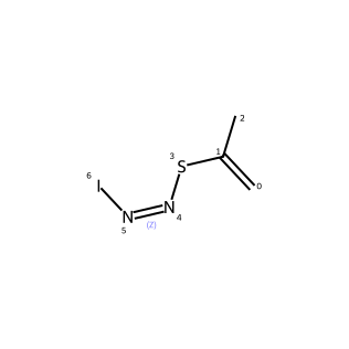 C=C(C)S/N=N\I